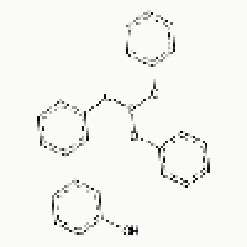 Oc1ccccc1.c1ccc(OP(Oc2ccccc2)Oc2ccccc2)cc1